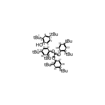 CC(C)(C)c1ccc(O)c(C(C)(C)C)c1.CC(C)(C)c1ccc(OP(Oc2ccc(C(C)(C)C)cc2C(C)(C)C)Oc2ccc(C(C)(C)C)cc2C(C)(C)C)c(C(C)(C)C)c1